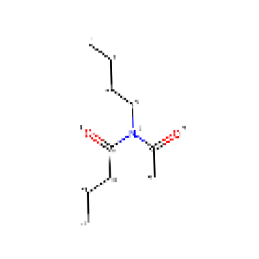 CCCCN(C(C)=O)C(=O)CCC